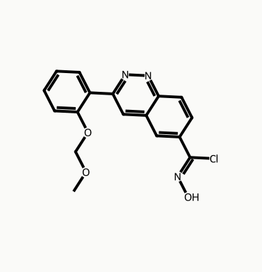 COCOc1ccccc1-c1cc2cc(C(Cl)=NO)ccc2nn1